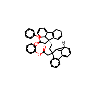 O=C(CC1(CC[C@@]2(CC(=O)Oc3ccccc3)C3=C(CCC=C3)C3=CC=CCC32)c2ccccc2C2=CC=C[C@@H]3C2C31)Oc1ccccc1